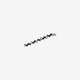 O=CCCOCCOCCOCCOCCCO